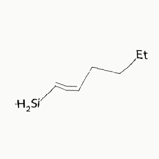 CCCCC=C[SiH2]